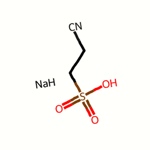 N#CCCS(=O)(=O)O.[NaH]